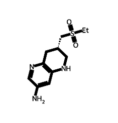 CCS(=O)(=O)C[C@@H]1CNc2cc(N)cnc2C1